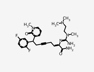 CN(C)CCN(C)/C(N)=N/C(=C\CC#CCC(c1cc(F)ccc1F)c1cccn(C)c1=O)C(N)=O